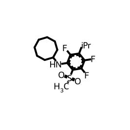 CC(C)c1c(F)c(F)c(S(C)(=O)=O)c(NC2CCCCCCC2)c1F